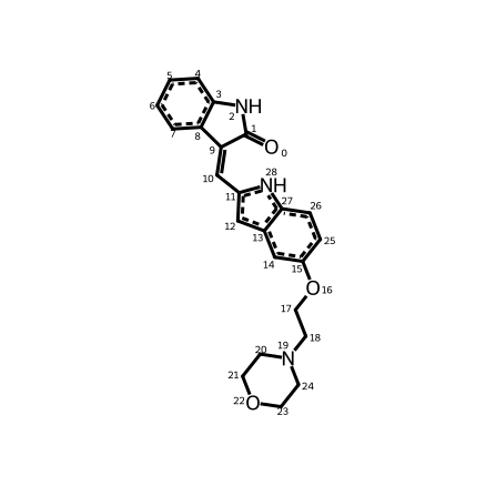 O=C1Nc2ccccc2C1=Cc1cc2cc(OCCN3CCOCC3)ccc2[nH]1